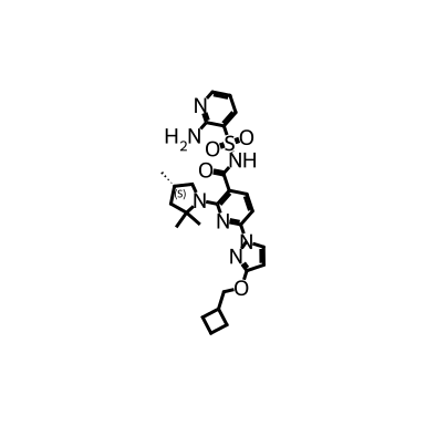 C[C@@H]1CN(c2nc(-n3ccc(OCC4CCC4)n3)ccc2C(=O)NS(=O)(=O)c2cccnc2N)C(C)(C)C1